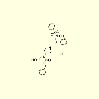 CN(CC(CCN1CCC(N(CCO)C(=O)OCc2ccccc2)CC1)c1ccccc1)S(=O)(=O)c1ccccc1.Cl